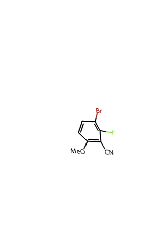 COc1ccc(Br)c(F)c1C#N